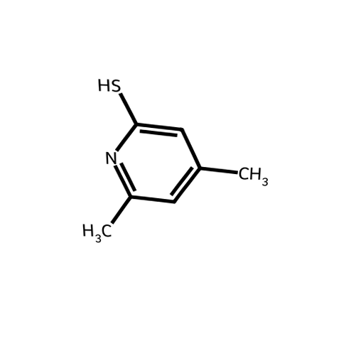 Cc1cc(C)nc(S)c1